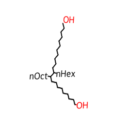 CCCCCCCCC(CCCCCCCCCO)C(CCCCCC)CCCCCCCCCCCO